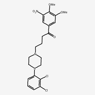 COc1cc(C(=O)CCCN2CCN(c3cccc(Cl)c3Cl)CC2)cc([N+](=O)[O-])c1OC